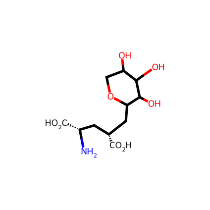 N[C@@H](C[C@H](CC1OCC(O)C(O)C1O)C(=O)O)C(=O)O